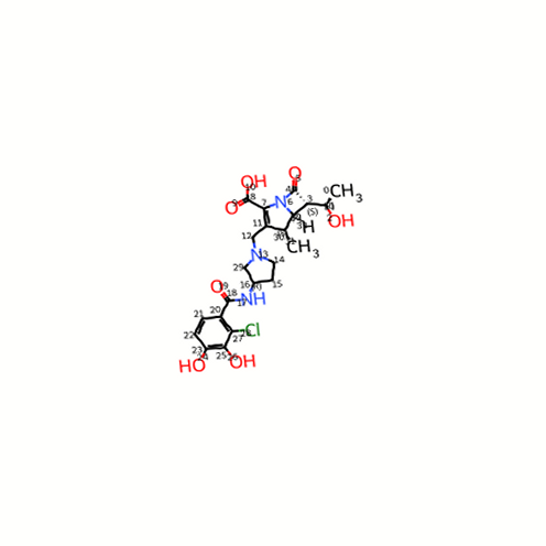 C[C@@H](O)[C@H]1C(=O)N2C(C(=O)O)=C(CN3CC[C@@H](NC(=O)c4ccc(O)c(O)c4Cl)C3)[C@H](C)[C@H]12